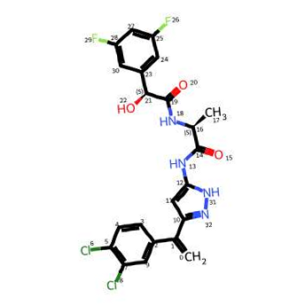 C=C(c1ccc(Cl)c(Cl)c1)c1cc(NC(=O)[C@H](C)NC(=O)[C@@H](O)c2cc(F)cc(F)c2)[nH]n1